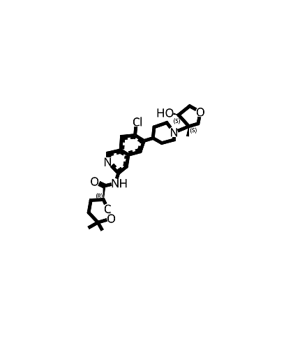 CC1(C)CC[C@@H](C(=O)Nc2cc3cc(C4CCN([C@@]5(C)COC[C@H]5O)CC4)c(Cl)cc3cn2)CO1